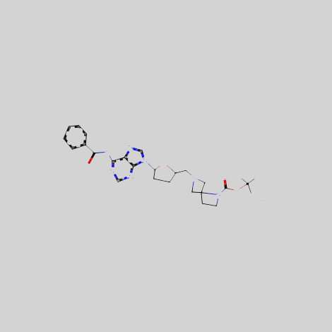 CC(C)(C)OC(=O)N1CCC12CN(CC1CCC(n3cnc4c(NC(=O)c5ccccc5)ncnc43)O1)C2